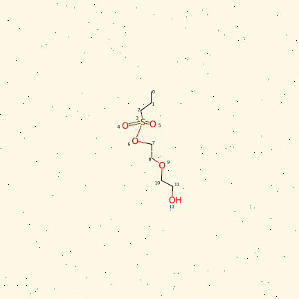 CCCS(=O)(=O)OCCOCCO